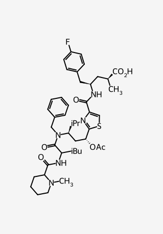 CCC(C)C(NC(=O)C1CCCCN1C)C(=O)N(Cc1ccccc1)[C@H](C[C@@H](OC(C)=O)c1nc(C(=O)N[C@@H](Cc2ccc(F)cc2)C[C@H](C)C(=O)O)cs1)C(C)C